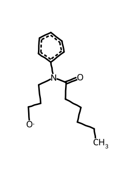 CCCCCC(=O)N(CCC[O])c1ccccc1